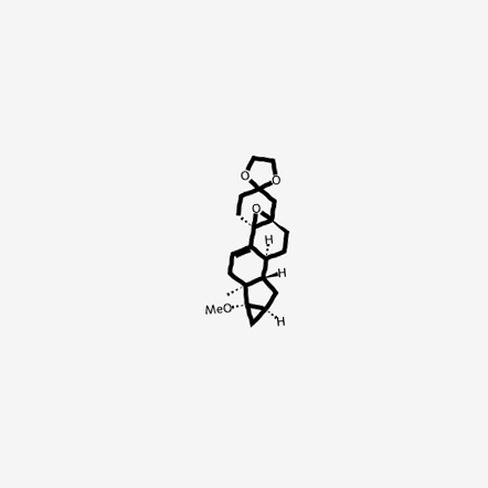 CO[C@@]12C[C@@H]1C[C@H]1[C@@H]3CC[C@@]45CC6(CC[C@@]4(O5)C3=CC[C@@]12C)OCCO6